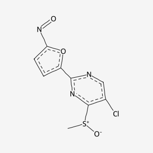 C[S+]([O-])c1nc(-c2ccc(N=O)o2)ncc1Cl